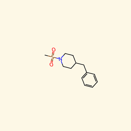 CS(=O)(=O)N1CCC(Cc2ccccc2)CC1